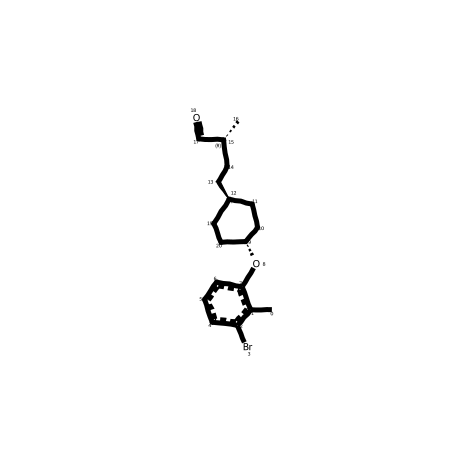 Cc1c(Br)cccc1O[C@H]1CC[C@H](CC[C@@H](C)C=O)CC1